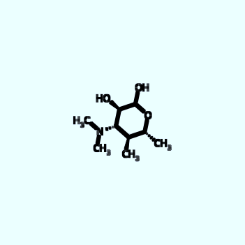 C[C@H]1[C@H](N(C)C)[C@@H](O)C(O)O[C@@H]1C